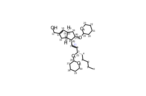 CCCCC[C@@H](/C=C/[C@H]1[C@H]2CC(CO)=C[C@H]2C[C@H]1OC1CCCCO1)OC1CCCCO1